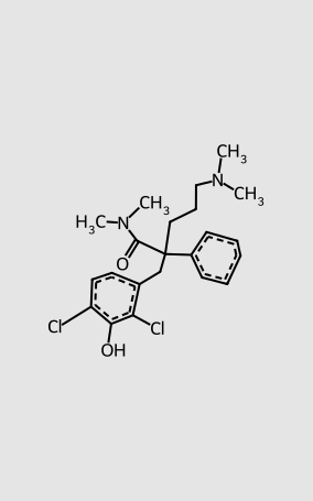 CN(C)CCCC(Cc1ccc(Cl)c(O)c1Cl)(C(=O)N(C)C)c1ccccc1